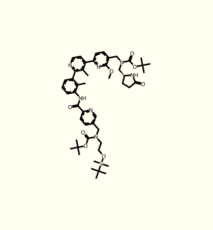 COc1nc(-c2ccnc(-c3cccc(NC(=O)c4ccc(CN(CCO[Si](C)(C)C(C)(C)C)C(=O)OC(C)(C)C)cn4)c3C)c2C)ccc1CN(C[C@@H]1CCC(=O)N1)C(=O)OC(C)(C)C